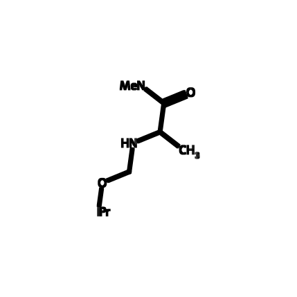 CNC(=O)C(C)NCOC(C)C